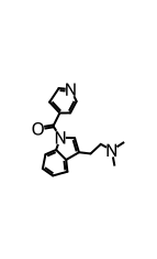 CN(C)CCc1cn(C(=O)c2ccncc2)c2ccccc12